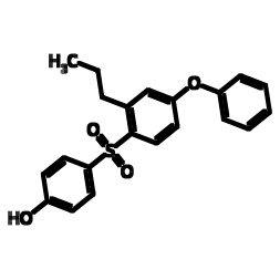 CCCc1cc(Oc2ccccc2)ccc1S(=O)(=O)c1ccc(O)cc1